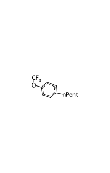 [CH2]CCCCc1ccc(OC(F)(F)F)cc1